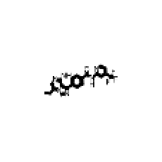 CCc1cnc(N)c2c(-c3ccc(C(=O)Nc4cc(C(F)(F)F)ccn4)cc3)ncn12